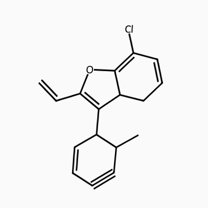 C=CC1=C(C2C=CC#CC2C)C2CC=CC(Cl)=C2O1